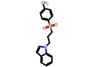 Cc1ccc(S(=O)(=O)CCCn2ccc3ccccc32)cc1